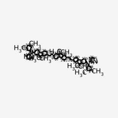 Cc1cc(C)cc(N(c2ccc3c(c2)C(C)(C)c2cc(/C=C/c4ccc5c(c4)C(C)(C)c4cc(/C=C/c6ccc7c(c6)C(C)(C)c6cc(N(c8cc(C)cc(C)c8)c8cnccn8)ccc6-7)ccc4-5)ccc2-3)c2cnccn2)c1